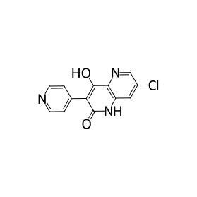 O=c1[nH]c2cc(Cl)cnc2c(O)c1-c1ccncc1